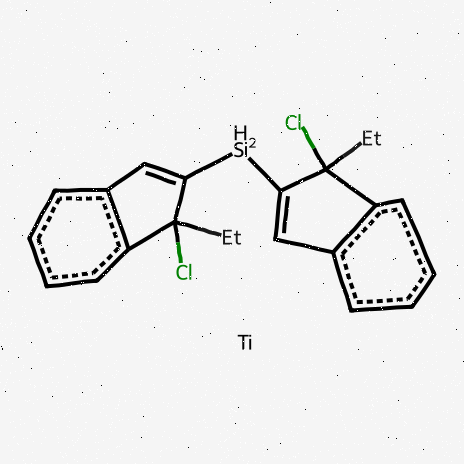 CCC1(Cl)C([SiH2]C2=Cc3ccccc3C2(Cl)CC)=Cc2ccccc21.[Ti]